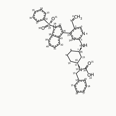 C=Cc1cnc(N[C@@H]2CCC[C@H](N(Cc3ccccc3)C(=O)O)C2)nc1-c1cn(S(=O)(=O)c2ccccc2)c2ccccc12